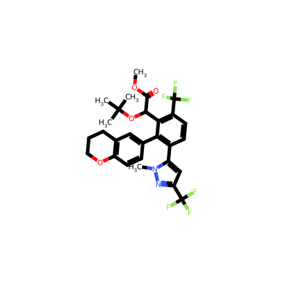 COC(=O)C(OC(C)(C)C)c1c(C(F)(F)F)ccc(-c2cc(C(F)(F)F)nn2C)c1-c1ccc2c(c1)CCCO2